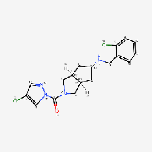 O=C(N1C[C@H]2C[C@H](NCc3ccccc3Cl)C[C@H]2C1)n1cc(Cl)cn1